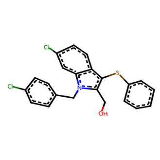 OCc1c(Sc2ccccc2)c2ccc(Cl)cc2n1Cc1ccc(Cl)cc1